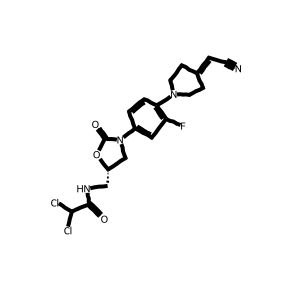 N#CC=C1CCN(c2ccc(N3C[C@H](CNC(=O)C(Cl)Cl)OC3=O)cc2F)CC1